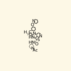 CC(=O)N1CCCC(NC(=O)c2sc3nccc4c3c2NC(=O)N4c2ccc(Oc3ccccn3)cc2C)C1